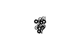 C[C@H](NC(=O)c1cccnc1N1CCOCC1)c1cc2cccc(Cl)c2c(=O)n1-c1ccccc1